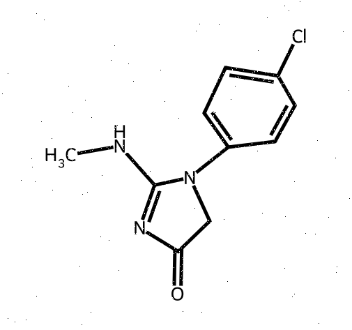 CNC1=NC(=O)CN1c1ccc(Cl)cc1